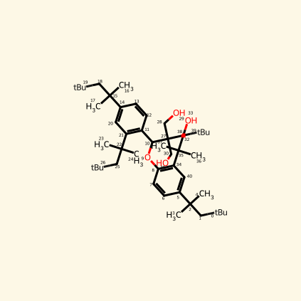 CC(C)(C)CC(C)(C)c1ccc(OC(c2ccc(C(C)(C)CC(C)(C)C)cc2C(C)(C)CC(C)(C)C)C(CO)(CO)CO)c(C(C)(C)CC(C)(C)C)c1